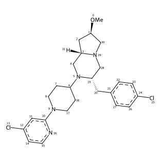 CO[C@@H]1C[C@H]2CN(C3CCN(c4cc(Cl)ccn4)CC3)[C@@H](Cc3ccc(Cl)cc3)CN2C1